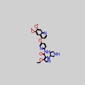 CCOc1cnn(C2CCNC2)c1C(=O)Nc1ccc(Oc2ccnc3cc(OC)c(OC)cc23)cn1